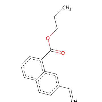 C=Cc1ccc2cccc(C(=O)OCCC)c2c1